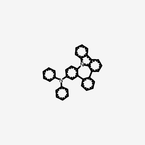 c1ccc(N(c2ccccc2)c2ccc3c(c2)-c2ccccc2-c2cccc4c5ccccc5n-3c24)cc1